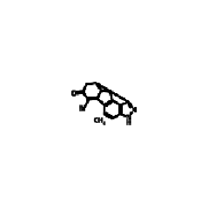 C.O=C1CC2c3n[nH]c4ccc5c(c34)CC2C5=C1Br